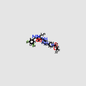 CCCC(NC(=O)Cc1cc(F)cc(F)c1)C(=O)Nc1cn(C2CCN(C(=O)OC(C)(C)C)CC2)cn1